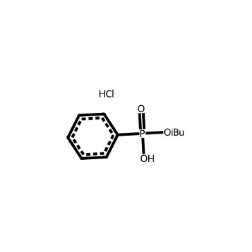 CC(C)COP(=O)(O)c1ccccc1.Cl